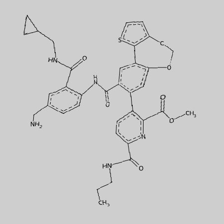 CCCNC(=O)c1ccc(-c2cc3c(cc2C(=O)Nc2ccc(CN)cc2C(=O)NCC2CC2)-c2sccc2CCO3)c(C(=O)OC)n1